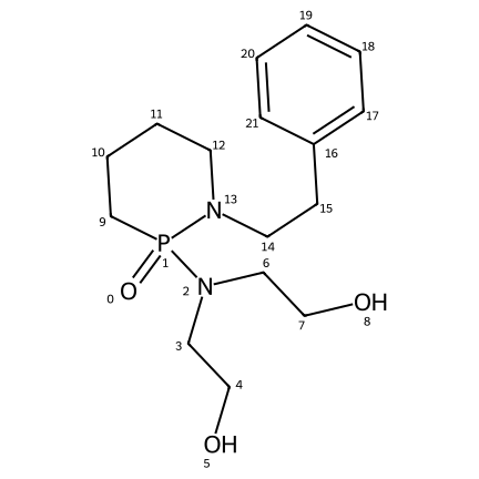 O=P1(N(CCO)CCO)CCCCN1CCc1ccccc1